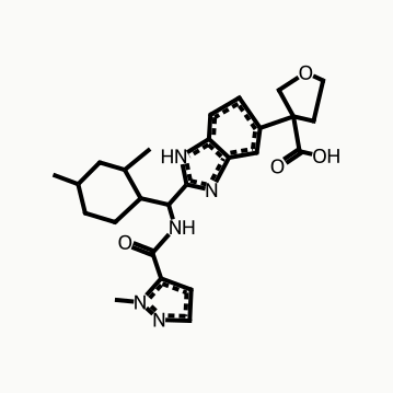 CC1CCC(C(NC(=O)c2ccnn2C)c2nc3cc(C4(C(=O)O)CCOC4)ccc3[nH]2)C(C)C1